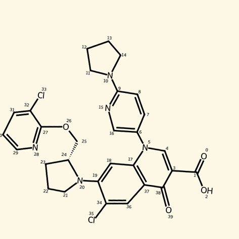 O=C(O)c1cn(-c2ccc(N3CCCC3)nc2)c2cc(N3CCC[C@@H]3COc3ncccc3Cl)c(Cl)cc2c1=O